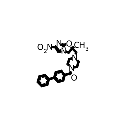 CC1(CN2CCN(C(=O)c3ccc(-c4ccccc4)cc3)CC2)Cn2cc([N+](=O)[O-])nc2O1